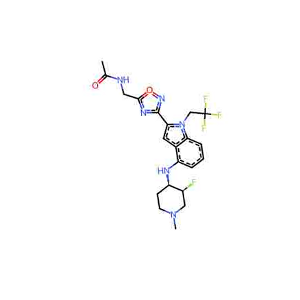 CC(=O)NCc1nc(-c2cc3c(N[C@@H]4CCN(C)C[C@@H]4F)cccc3n2CC(F)(F)F)no1